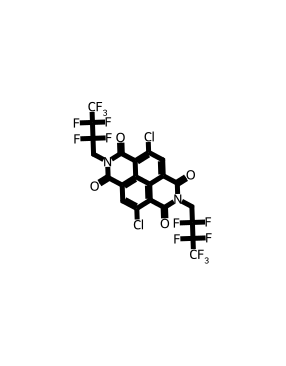 O=C1c2cc(Cl)c3c4c(cc(Cl)c(c24)C(=O)N1CC(F)(F)C(F)(F)C(F)(F)F)C(=O)N(CC(F)(F)C(F)(F)C(F)(F)F)C3=O